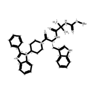 CC(C)(C)OC(=O)NC(C)(C)C(=O)N[C@H](Cc1c[nH]c2ccccc12)C(=O)N1CCC(n2c(-c3ccccc3)nc3ccccc32)CC1